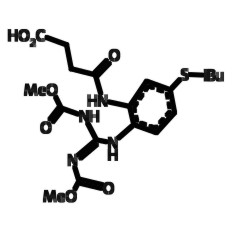 CCC(C)Sc1ccc(NC(=NC(=O)OC)NC(=O)OC)c(NC(=O)CCC(=O)O)c1